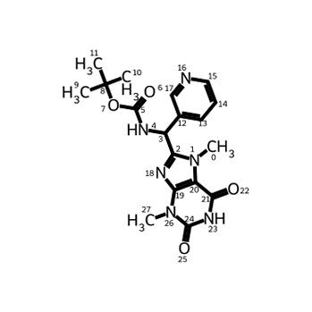 Cn1c(C(NC(=O)OC(C)(C)C)c2cccnc2)nc2c1c(=O)[nH]c(=O)n2C